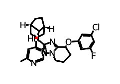 Cc1cc(N2C[C@H]3CC[C@@H](C2)C3Nc2nc3n(n2)CCC[C@@H]3Oc2cc(F)cc(Cl)c2)ncn1